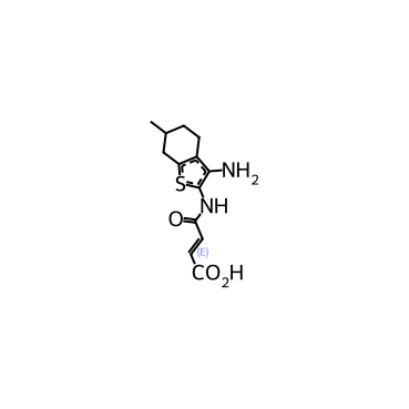 CC1CCc2c(sc(NC(=O)/C=C/C(=O)O)c2N)C1